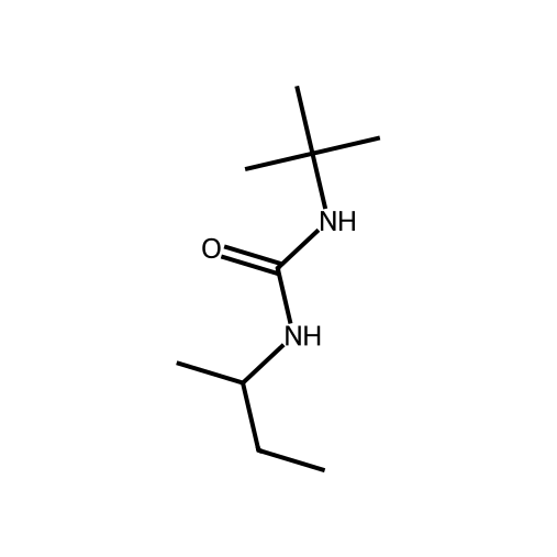 CCC(C)NC(=O)NC(C)(C)C